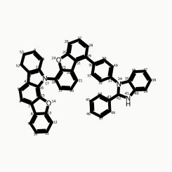 C1=Cc2c(c3ccc4c5ccccc5oc4c3n2-c2cccc3c2oc2cccc(-c4ccc(N5c6ccccc6NC5c5ccccc5)cc4)c23)CC1